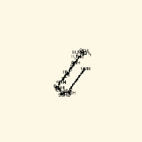 CC(C)[C@H](NCC(=O)[C@@H](N)CCCCNC(=O)COCCOCCNC(=O)COCCOCCNC(=O)CC[C@H](NC(=O)CC[C@H](NC(=O)CC[C@H](NC(=O)CCCCCCCCCCCCCCCCCCC(=O)O)C(=O)O)C(=O)O)C(=O)O)C(N)=O